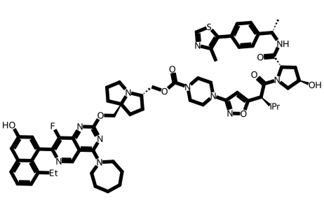 CCc1cccc2cc(O)cc(-c3ncc4c(N5CCCCCC5)nc(OC[C@@]56CCCN5[C@H](COC(=O)N5CCN(c7cc([C@@H](C(=O)N8C[C@H](O)C[C@H]8C(=O)N[C@@H](C)c8ccc(-c9scnc9C)cc8)C(C)C)on7)CC5)CC6)nc4c3F)c12